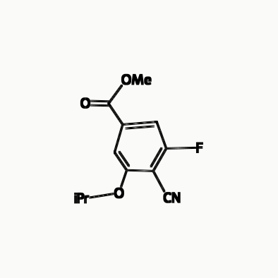 COC(=O)c1cc(F)c(C#N)c(OC(C)C)c1